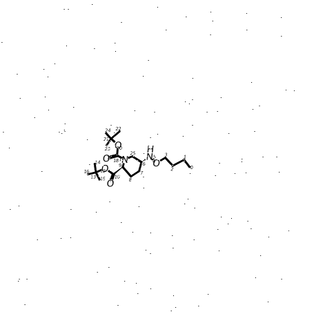 CCCCON[C@@H]1CC[C@@H](C(=O)OC(C)(C)C)N(C(=O)OC(C)(C)C)C1